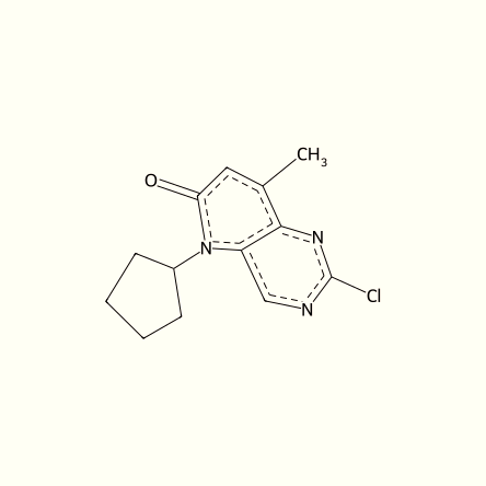 Cc1cc(=O)n(C2CCCC2)c2cnc(Cl)nc12